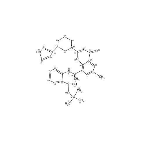 Cc1cc([C@@H](C)Nc2ccccc2C(O)OC(C)(C)C)c2oc(N3CCCC(c4cn[nH]c4)C3)cc(=O)c2c1